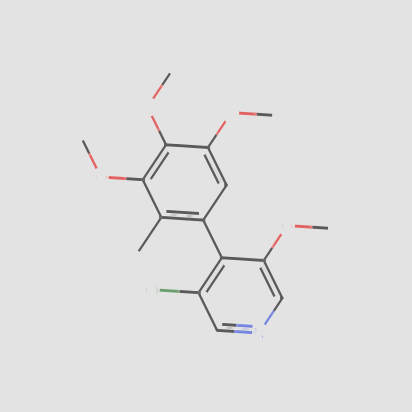 COc1cc(-c2c(Cl)cncc2OC)c(C)c(OC)c1OC